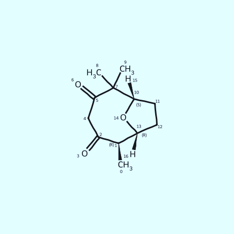 C[C@H]1C(=O)CC(=O)C(C)(C)[C@@H]2CC[C@H]1O2